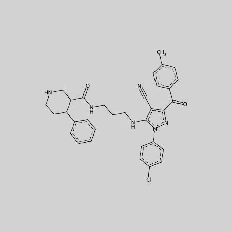 Cc1ccc(C(=O)c2nn(-c3ccc(Cl)cc3)c(NCCCNC(=O)C3CNCCC3c3ccccc3)c2C#N)cc1